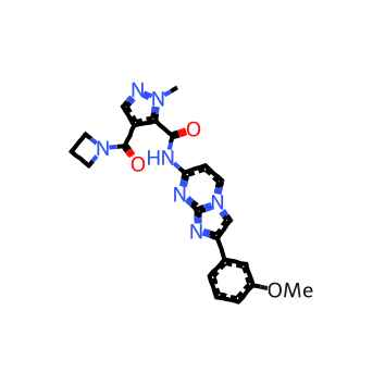 COc1cccc(-c2cn3ccc(NC(=O)c4c(C(=O)N5CCC5)cnn4C)nc3n2)c1